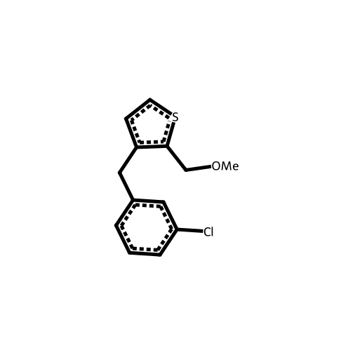 COCc1sccc1Cc1cccc(Cl)c1